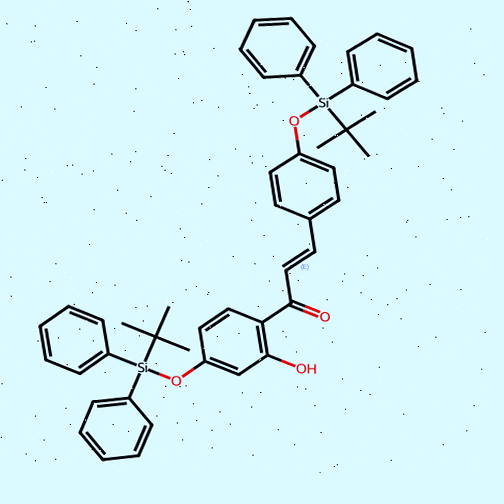 CC(C)(C)[Si](Oc1ccc(/C=C/C(=O)c2ccc(O[Si](c3ccccc3)(c3ccccc3)C(C)(C)C)cc2O)cc1)(c1ccccc1)c1ccccc1